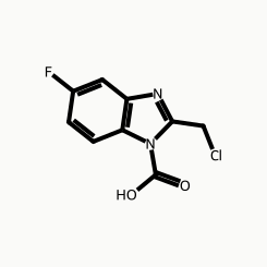 O=C(O)n1c(CCl)nc2cc(F)ccc21